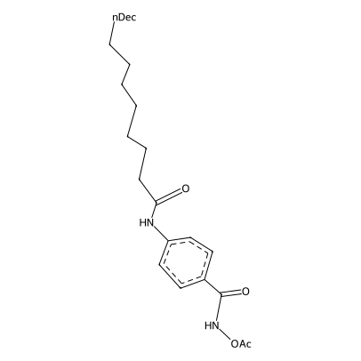 CCCCCCCCCCCCCCCCCC(=O)Nc1ccc(C(=O)NOC(C)=O)cc1